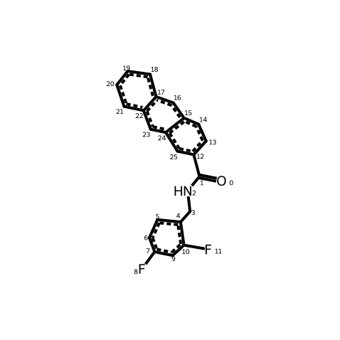 O=C(NCc1ccc(F)cc1F)c1ccc2cc3ccccc3cc2c1